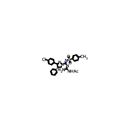 CC(=O)N/C(N)=N/C(=N\S(=O)(=O)c1ccc(C)cc1)N1C[C@H](c2ccccc2)C(c2ccc(Cl)cc2)=N1